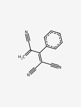 C=C(C#N)C(=C(C#N)C#N)c1ccccc1